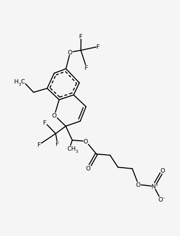 CCc1cc(OC(F)(F)F)cc2c1OC(C(C)OC(=O)CCCO[N+](=O)[O-])(C(F)(F)F)C=C2